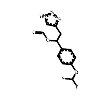 O=COC(Cc1c[nH]nn1)c1ccc(OC(F)F)cc1